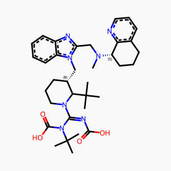 CN(Cc1nc2ccccc2n1C[C@H]1CCCN(C(=NC(=O)O)N(C(=O)O)C(C)(C)C)C1C(C)(C)C)[C@H]1CCCc2cccnc21